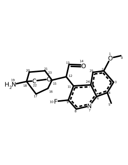 COc1cc(C)c2ncc(F)c(C(C=O)C34CCC(N)(CC3)CO4)c2c1